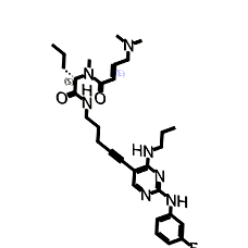 CCCNc1nc(Nc2cccc(F)c2)ncc1C#CCCCNC(=O)[C@H](CCC)N(C)C(=O)/C=C/CN(C)C